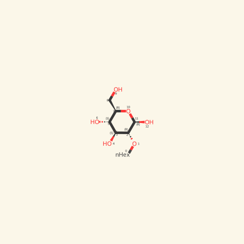 CCCCCCO[C@@H]1[C@@H](O)[C@H](O)[C@@H](CO)O[C@H]1O